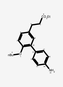 CCCCOc1ccc(CCC(=O)OCC)cc1-c1ccc(N)cc1